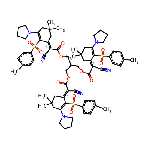 Cc1ccc(S(=O)(=O)C2=C(N3CCCC3)CC(C)(C)C/C2=C(/C#N)C(=O)OCC(COC(=O)/C(C#N)=C2\CC(C)(C)CC(N3CCCC3)=C2S(=O)(=O)c2ccc(C)cc2)COC(=O)/C(C#N)=C2\CC(C)(C)CC(N3CCCC3)=C2S(=O)(=O)c2ccc(C)cc2)cc1